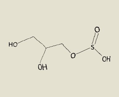 O=S(O)OCC(O)CO